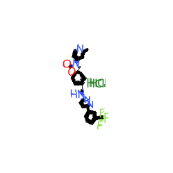 Cc1cc(N2C[C@]3(CC[C@@H](CNc4ccc(-c5cccc(C(F)(F)F)c5)nn4)CC3)OC2=O)ccn1.Cl.Cl